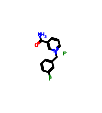 NC(=O)c1ccc[n+](Cc2cccc(F)c2)c1.[F-]